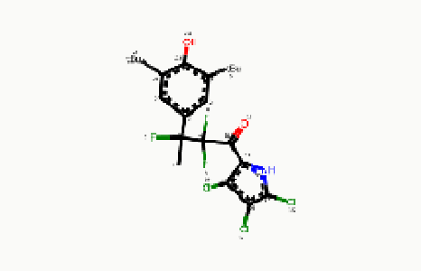 CC(C)(C)c1cc(C(C)(F)C(F)(F)C(=O)c2[nH]c(Cl)c(Cl)c2Cl)cc(C(C)(C)C)c1O